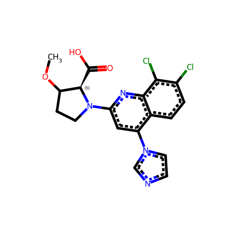 COC1CCN(c2cc(-n3ccnc3)c3ccc(Cl)c(Cl)c3n2)[C@@H]1C(=O)O